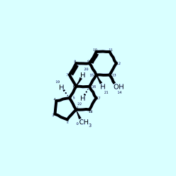 C[C@@]12CCC[C@H]1[C@@H]1C=CC3=CCCC(O)[C@@H]3[C@H]1CC2